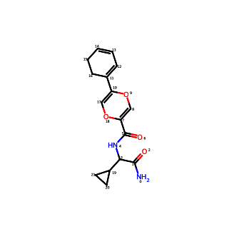 NC(=O)C(NC(=O)C1=COC(C2=CC=CCC2)=CO1)C1CC1